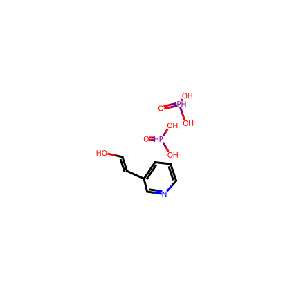 O=[PH](O)O.O=[PH](O)O.OC=Cc1cccnc1